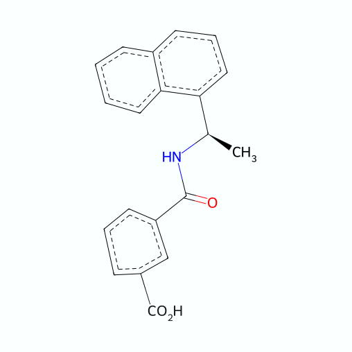 C[C@@H](NC(=O)c1cccc(C(=O)O)c1)c1cccc2ccccc12